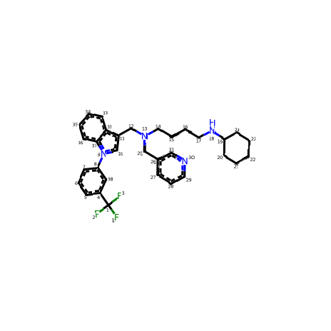 FC(F)(F)c1cccc(-n2cc(CN(CCCCNC3CCCCC3)Cc3cccnc3)c3ccccc32)c1